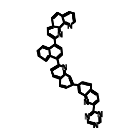 c1cnc2c(c1)ccc1ccc(-c3ccc(-c4ccc5ccc(-c6ccc7ccc(-c8ncncn8)nc7c6)cc5n4)c4ccccc34)nc12